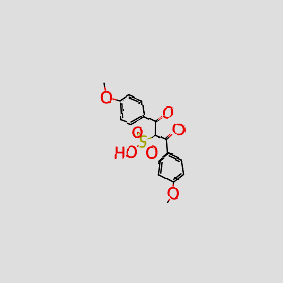 COc1ccc(C(=O)C(C(=O)c2ccc(OC)cc2)S(=O)(=O)O)cc1